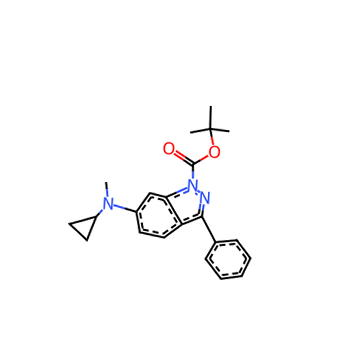 CN(c1ccc2c(-c3ccccc3)nn(C(=O)OC(C)(C)C)c2c1)C1CC1